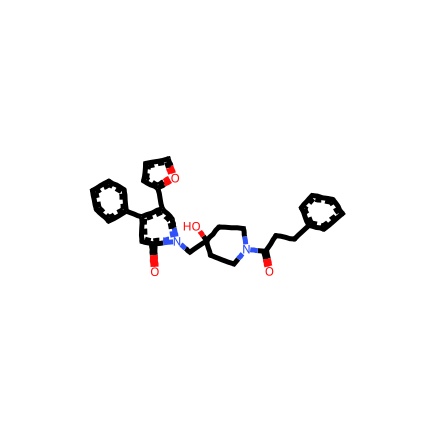 O=C(CCc1ccccc1)N1CCC(O)(Cn2cc(-c3ccco3)c(-c3ccccc3)cc2=O)CC1